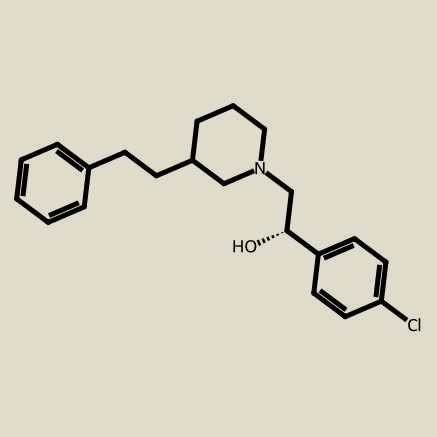 O[C@H](CN1CCCC(CCc2ccccc2)C1)c1ccc(Cl)cc1